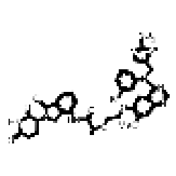 COc1cc2ncnc(N(Cc3cnc([N+](=O)[O-])n3C)c3cccc(Br)c3)c2cc1OCCOC(C)C(=O)Nc1cccc2c1CN(C1CCC(=O)NC1=O)C2=O